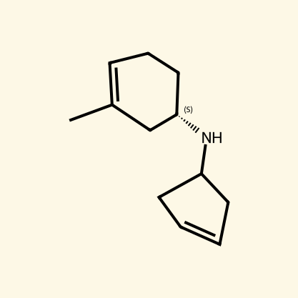 CC1=CCC[C@H](NC2CC=CC2)C1